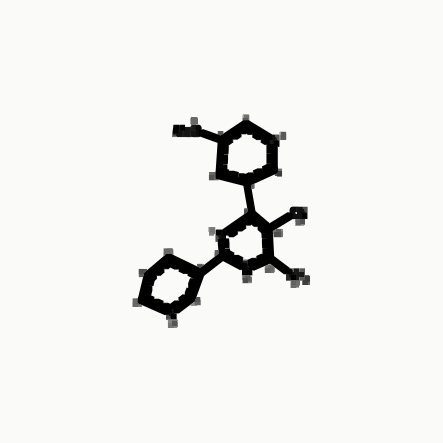 COc1cncc(-c2nc(-c3cccnc3)nc(N)c2C#N)c1